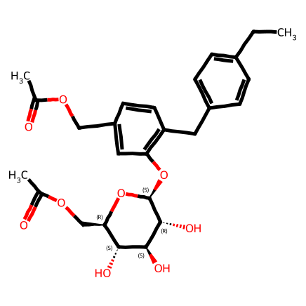 CCc1ccc(Cc2ccc(COC(C)=O)cc2O[C@@H]2O[C@H](COC(C)=O)[C@@H](O)[C@H](O)[C@H]2O)cc1